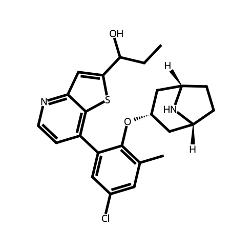 CCC(O)c1cc2nccc(-c3cc(Cl)cc(C)c3O[C@H]3C[C@H]4CC[C@@H](C3)N4)c2s1